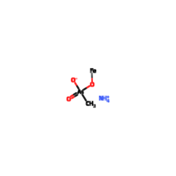 C[As](=O)([O-])[O][Fe].[NH4+]